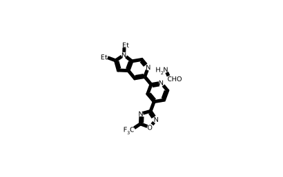 CCc1cc2cc(-c3cc(-c4noc(C(F)(F)F)n4)ccn3)ncc2n1CC.NC=O